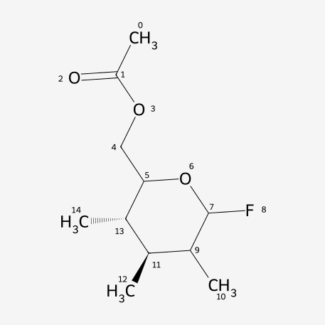 CC(=O)OCC1OC(F)C(C)[C@@H](C)[C@@H]1C